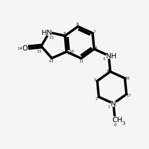 CN1CCC(Nc2ccc3c(c2)CC(=O)N3)CC1